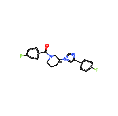 O=C(c1ccc(F)cc1)N1CCC[C@H](n2cnc(-c3ccc(F)cc3)c2)C1